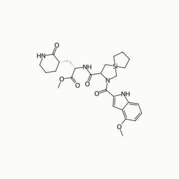 COC(=O)[C@H](C[C@@H]1CCCNC1=O)NC(=O)C1C[Si]2(CCCC2)CN1C(=O)c1cc2c(OC)cccc2[nH]1